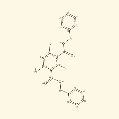 CCCc1nc(C)c(C(=O)OCc2ccccc2)c(C)c1C(=O)OCc1ccccc1